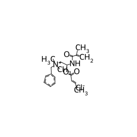 C=C(C)C(=O)NC(C[N+](C)(C)Cc1ccccc1)OC(=O)C=CC.[Cl-]